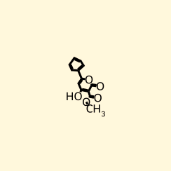 COC(=O)c1c(O)cc(-c2ccccc2)oc1=O